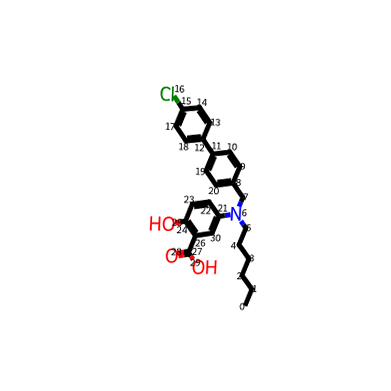 CCCCCCN(Cc1ccc(-c2ccc(Cl)cc2)cc1)c1ccc(O)c(C(=O)O)c1